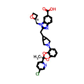 C[C@@]1(c2ccc(Cl)cn2)Oc2cccc(N3CC4C(Cc5nc6ccc(C(=O)O)cc6n5C[C@@H]5CCO5)C4C3)c2O1